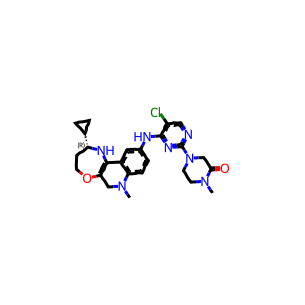 CN1CCN(c2ncc(Cl)c(Nc3ccc4c(c3)C3=C(CN4C)OCC[C@H](C4CC4)N3)n2)CC1=O